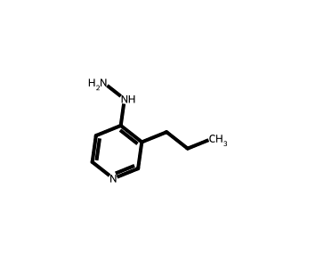 CCCc1cnccc1NN